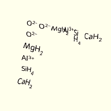 [Al+3].[Al+3].[CaH2].[CaH2].[MgH2].[MgH2].[O-2].[O-2].[O-2].[SiH4].[SiH4]